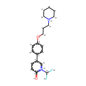 O=c1ccc(-c2ccc(OCCCN3CCCCC3)cc2)cn1C(F)F